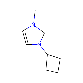 CN1C=CN(C2CCC2)C1